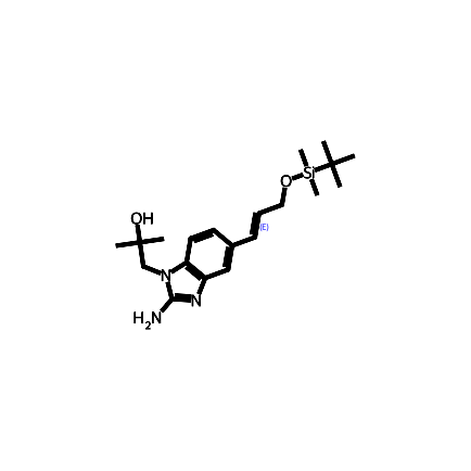 CC(C)(O)Cn1c(N)nc2cc(/C=C/CO[Si](C)(C)C(C)(C)C)ccc21